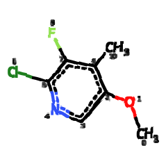 COc1cnc(Cl)c(F)c1C